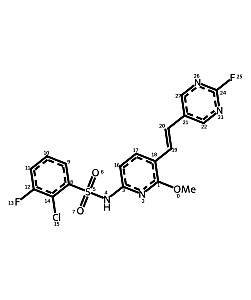 COc1nc(NS(=O)(=O)c2cccc(F)c2Cl)ccc1C=Cc1cnc(F)nc1